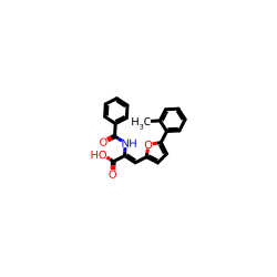 Cc1ccccc1-c1ccc(C=C(NC(=O)c2ccccc2)C(=O)O)o1